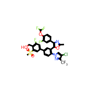 Cc1nc(-c2ccc(OC(F)F)c(F)c2)c(-c2cc(-c3cc(F)c(CO)c(S(C)(=O)=O)c3)ccc2-n2cc(Cl)c(C(F)(F)F)n2)o1